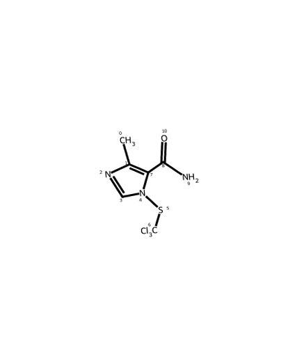 Cc1ncn(SC(Cl)(Cl)Cl)c1C(N)=O